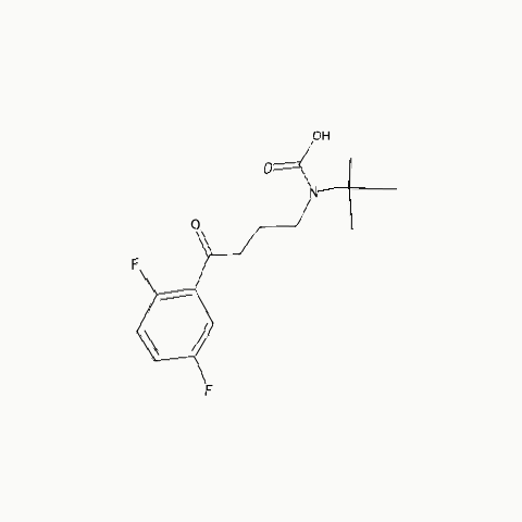 CC(C)(C)N(CCCC(=O)c1cc(F)ccc1F)C(=O)O